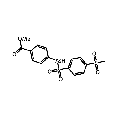 COC(=O)c1ccc([AsH]S(=O)(=O)c2ccc(S(C)(=O)=O)cc2)cc1